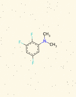 CN(C)c1cc(F)cc(F)c1F